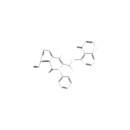 CC(Nc1ncnc2[nH]ccc(=O)c12)c1c(Cl)c2cccc(C=O)c2c(=O)n1-c1ccccc1